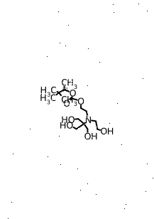 C[C@@H](OC(=O)OCCN(CCO)C(CO)(CO)CO)C(C)(C)C